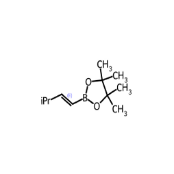 CC(C)/C=C/B1OC(C)(C)C(C)(C)O1